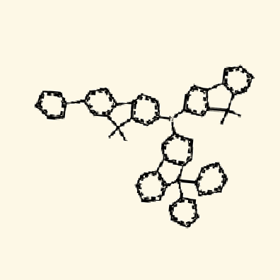 CC1(C)c2ccccc2-c2ccc(N(c3ccc4c(c3)-c3ccccc3C4(c3ccccc3)c3ccccc3)c3ccc4c(c3)C(C)(C)c3cc(-c5ccccc5)ccc3-4)cc21